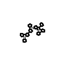 c1ccc(-c2c3ccc(-n4c5ccccc5c5cc(-c6ccc7c(c6)c6ccccc6n7-c6ccccc6)ccc54)cc3n3c4ccccc4c4ccccc4c23)cc1